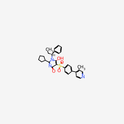 CC[C@@H](c1ccccc1)n1c(C2CCCC2)nc(=O)c(S(=O)(=O)c2ccc(-c3ccncc3C)cc2)c1O